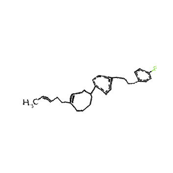 C/C=C/CCC1=CCC(c2ccc(CCc3ccc(F)cc3)cc2)CC1